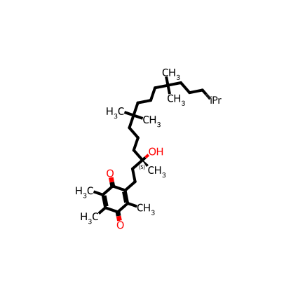 CC1=C(C)C(=O)C(CC[C@@](C)(O)CCCC(C)(C)CCCC(C)(C)CCCC(C)C)=C(C)C1=O